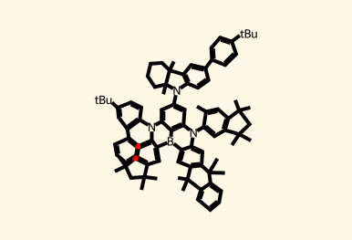 Cc1cc2c(cc1N1c3cc4c(cc3B3c5cc6c(cc5N(c5ccc(C(C)(C)C)cc5-c5ccccc5)c5cc(N7c8ccc(-c9ccc(C(C)(C)C)cc9)cc8C8(C)CCCCC78C)cc1c53)C(C)(C)CC6(C)C)C(C)(C)c1ccccc1C4(C)C)C(C)(C)CC2(C)C